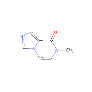 Cn1ccn2cncc2c1=O